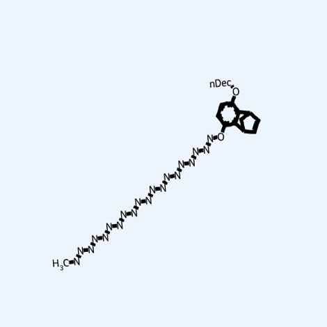 CCCCCCCCCCOc1ccc(ON=NN=NN=NN=NN=NN=NN=NN=NN=NN=NC)c2c1C1C=CC2C1